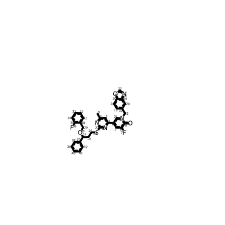 Cc1cc(-c2cc(F)c(=O)n(Cc3ccc4ocnc4c3)c2)nc(SCCC(OCc2ccccc2F)c2ccccc2)n1